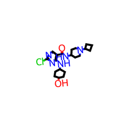 O=C(NC1CCN(C2CCC2)CC1)c1cnc(Cl)nc1NC1CCC(O)CC1